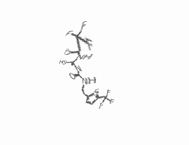 O=C(/N=C(\S)NC(=O)C(F)(F)F)NCc1ccc(C(F)(F)F)s1